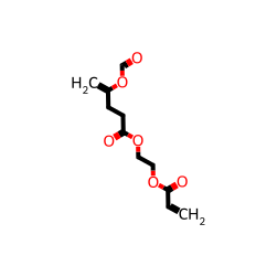 C=CC(=O)OCCOC(=O)CCC(=C)OC=O